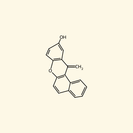 C=C1c2cc(O)ccc2Oc2ccc3ccccc3c21